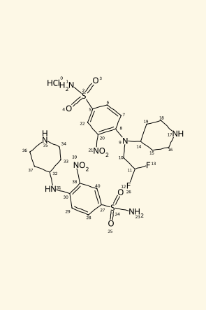 Cl.NS(=O)(=O)c1ccc(N(CC(F)F)C2CCNCC2)c([N+](=O)[O-])c1.NS(=O)(=O)c1ccc(NC2CCNCC2)c([N+](=O)[O-])c1